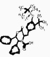 CC(C)(C)c1cc(CC2C(=O)OC(c3ccccc3)C(c3ccccc3)N2C(=O)O)ccc1O[Si](C)(C)C(C)(C)C